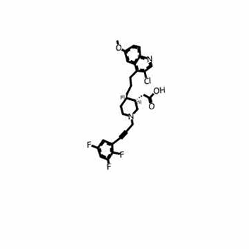 COc1ccc2ncc(Cl)c(CCC[C@@H]3CCN(CC#Cc4cc(F)cc(F)c4F)C[C@H]3CC(=O)O)c2c1